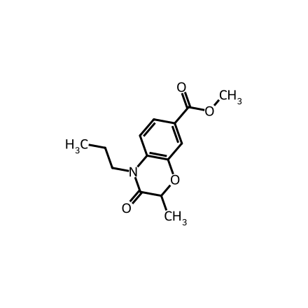 CCCN1C(=O)C(C)Oc2cc(C(=O)OC)ccc21